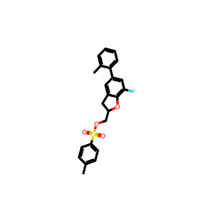 Cc1ccc(S(=O)(=O)OCC2Cc3cc(-c4ccccc4C)cc(F)c3O2)cc1